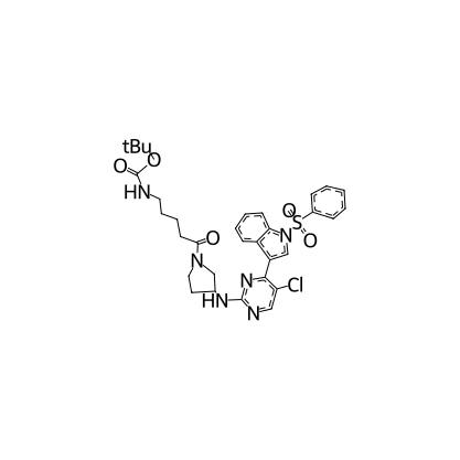 CC(C)(C)OC(=O)NCCCCC(=O)N1CCC(Nc2ncc(Cl)c(-c3cn(S(=O)(=O)c4ccccc4)c4ccccc34)n2)C1